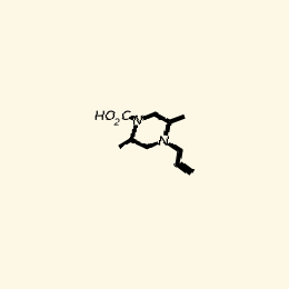 C=CCN1CC(C)N(C(=O)O)CC1C